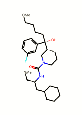 CNC[C@H](CC1CCCCC1)NC(=O)N1CCC[C@@H]([C@](O)(CCCCOC)c2cccc(F)c2)C1